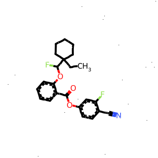 CCC1(C(F)Oc2ccccc2C(=O)Oc2ccc(C#N)c(F)c2)CCCCC1